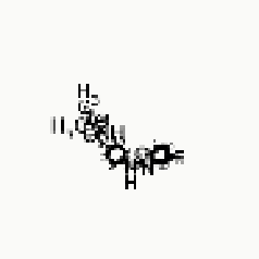 CCC(C)S(=O)(=O)NC[C@H]1CC[C@H](Nc2nc3cc(F)ccc3o2)CC1